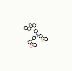 c1ccc2c(c1)ccc1c2oc2cccc(-c3ccc(N(c4ccc(-c5cccc6oc7ccccc7c56)cc4)c4ccc5c(c4)sc4ccccc45)cc3)c21